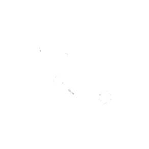 CC(N)(CCc1ccc(C#CCCOc2ccc(F)cc2)s1)COP(=O)(O)O